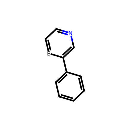 b1ccncc1-c1ccccc1